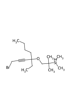 CCCCC(C#CCBr)(CC)OCC(C)(C)[SiH](C)C